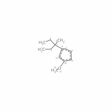 [CH2]C(CC)(CC)c1cccc(OC)c1